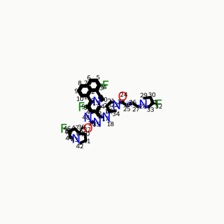 C#Cc1c(F)ccc2cccc(-c3ncc4c(N(C)[C@@H]5CCN(C(=O)/C=C/CN6CC[C@H](F)C6)C5)nc(OC[C@@]56CCCN5C[C@H](F)C6)nc4c3F)c12